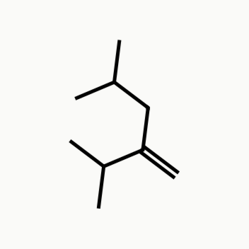 C=C(CC(C)C)C(C)C